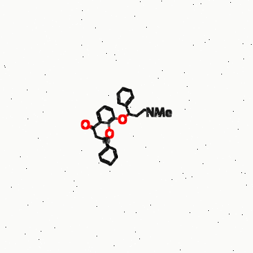 CNCCC(Oc1cccc2c1O[C@@H](c1ccccc1)CC2=O)c1ccccc1